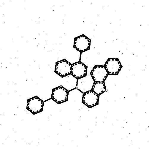 c1ccc(-c2ccc(N(c3ccc(-c4ccccc4)c4ccccc34)c3cccc4oc5c6ccccc6ccc5c34)cc2)cc1